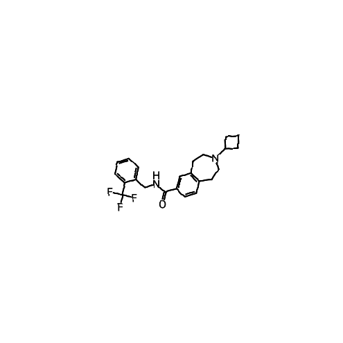 O=C(NCc1ccccc1C(F)(F)F)c1ccc2c(c1)CCN(C1CCC1)CC2